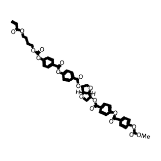 C=CC(=O)OCCCCOC(=O)Oc1ccc(C(=O)Oc2ccc(C(=O)O[C@@H]3CO[C@H]4[C@@H]3OC[C@@H]4OC(=O)c3ccc(OC(=O)c4ccc(OC(=O)OC)cc4)cc3)cc2)cc1